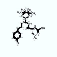 COC[C@@H](NC(=O)O)C(=O)N[C@@H](CCCc1ccc(Cl)cc1)B1OC(C)(C)C(C)(C)O1